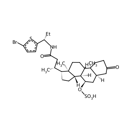 CC[C@H](NC(=O)C[C@@H](C)[C@H]1CC[C@H]2[C@@H]3[C@H](OS(=O)(=O)O)C[C@@H]4CC(=O)CC[C@]4(C)[C@H]3CC[C@]12C)c1ccc(Br)s1